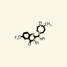 CCC[C@H](c1nc2ccc(C(F)(F)F)cc2c(=O)n1CC)N1CCN[C@@H](C)CC1